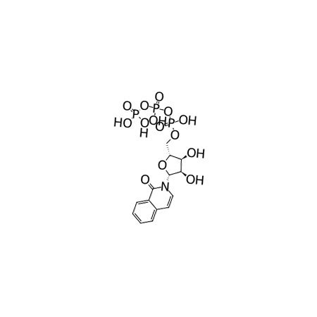 O=c1c2ccccc2ccn1[C@@H]1O[C@H](COP(=O)(O)OP(=O)(O)OP(=O)(O)O)[C@@H](O)[C@H]1O